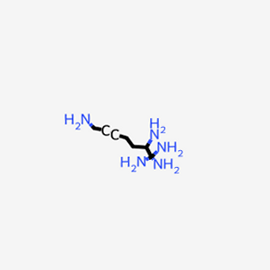 NCCCCCC(N)C(N)(N)N